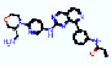 C=CC(=O)Nc1cccc(-c2nccc3cnc(Nc4ccc(N5CCOC[C@@H]5CN)nc4)nc23)c1